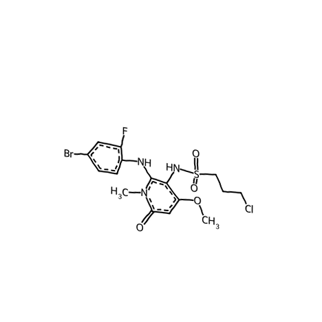 COc1cc(=O)n(C)c(Nc2ccc(Br)cc2F)c1NS(=O)(=O)CCCCl